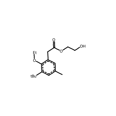 CCOc1c(CC(=O)OCCO)cc(C)cc1C(C)(C)C